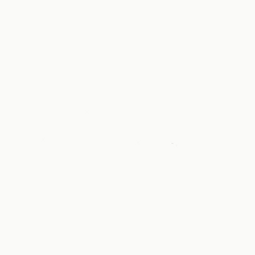 C=CC(=O)OSc1ccccc1